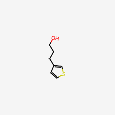 OCC[CH]c1ccsc1